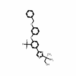 C[C@](N)(CO)c1nc(-c2ccc(Sc3cccc(OCc4ccccc4)c3)c(C(F)(F)F)c2)cs1